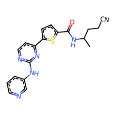 CC(CCC#N)NC(=O)c1ccc(-c2ccnc(Nc3cccnc3)n2)s1